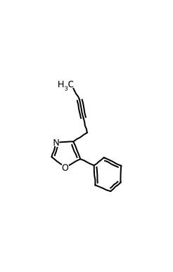 CC#CCc1ncoc1-c1ccccc1